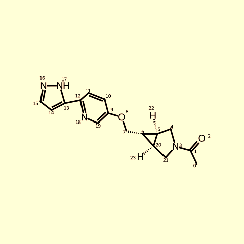 CC(=O)N1C[C@@H]2[C@@H](COc3ccc(-c4ccn[nH]4)nc3)[C@@H]2C1